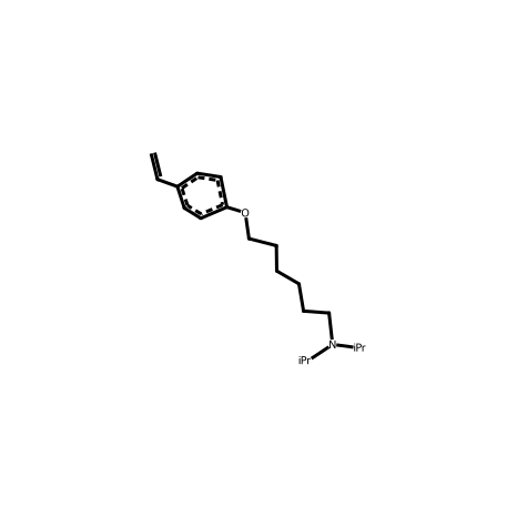 C=Cc1ccc(OCCCCCCN(C(C)C)C(C)C)cc1